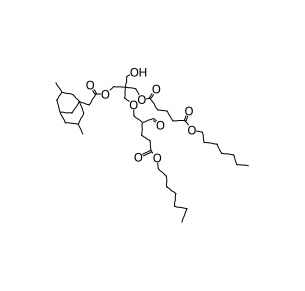 CCCCCCCOC(=O)CCCC(=O)OCC(CO)(COCC(C=O)CCC(=O)OCCCCCCC)COC(=O)CC12CC(C)CC(CC(C)C1)C2